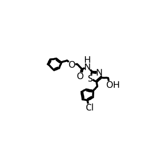 O=C(COCc1ccccc1)Nc1nc(CO)c(Cc2cccc(Cl)c2)s1